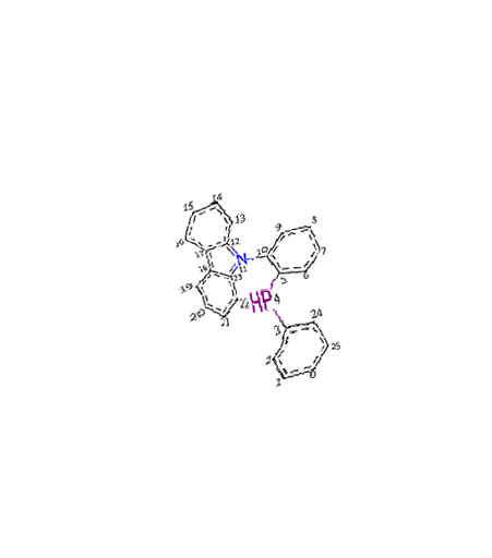 c1ccc(Pc2ccccc2-n2c3ccccc3c3ccccc32)cc1